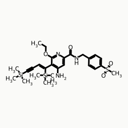 CCOc1nc(C(=O)NCc2ccc(S(C)(=O)=O)cc2)cc(N)c1C(=CC#C[Si](C)(C)C)[Si](C)(C)C